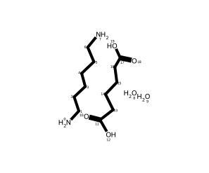 NCCCCCCN.O.O.O=C(O)CCCCC(=O)O